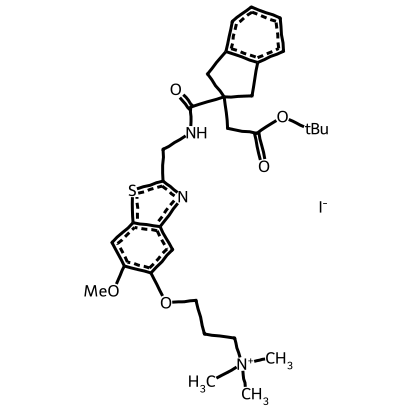 COc1cc2sc(CNC(=O)C3(CC(=O)OC(C)(C)C)Cc4ccccc4C3)nc2cc1OCCC[N+](C)(C)C.[I-]